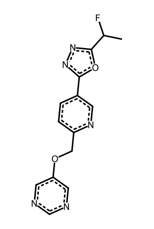 CC(F)c1nnc(-c2ccc(COc3cncnc3)nc2)o1